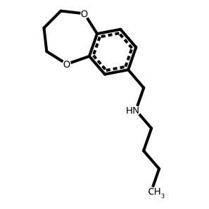 CCCCNCc1ccc2c(c1)OCCCO2